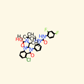 CC(c1nc2cccc(Cl)c2c(=O)n1-c1cccc(NC(=O)Nc2ccc(F)cc2F)c1)N(C(=O)O)C(C)(C)C